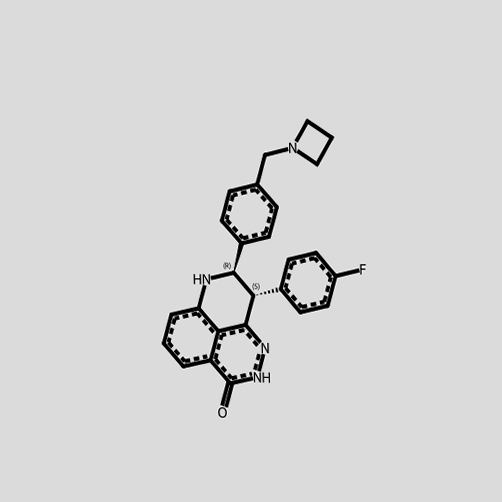 O=c1[nH]nc2c3c(cccc13)N[C@@H](c1ccc(CN3CCC3)cc1)[C@@H]2c1ccc(F)cc1